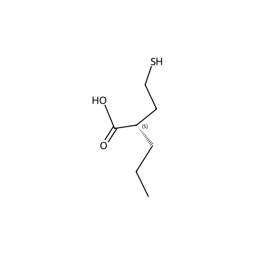 CCC[C@@H](CCS)C(=O)O